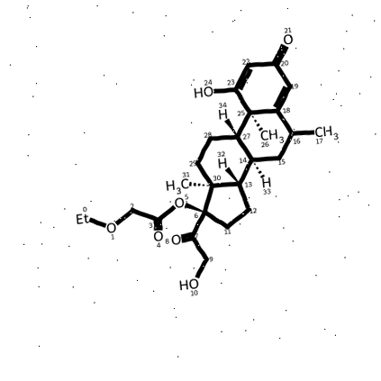 CCOCC(=O)O[C@]1(C(=O)CO)CC[C@H]2[C@@H]3CC(C)C4=CC(=O)C=C(O)[C@]4(C)[C@H]3CC[C@@]21C